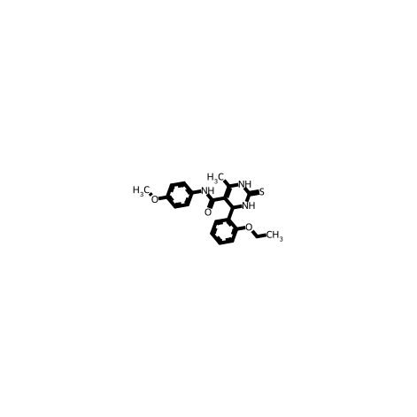 CCOc1ccccc1C1NC(=S)NC(C)=C1C(=O)Nc1ccc(OC)cc1